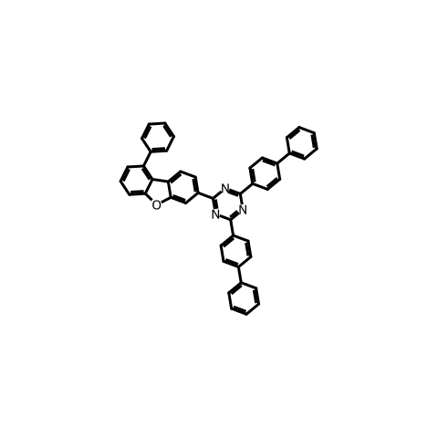 c1ccc(-c2ccc(-c3nc(-c4ccc(-c5ccccc5)cc4)nc(-c4ccc5c(c4)oc4cccc(-c6ccccc6)c45)n3)cc2)cc1